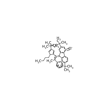 CCCCC1C=C(C(C)(C)C)C=[C]1/[Zr+2](=[C](\C)c1ccccc1)[CH]1c2cc(C(C)(C)C)ccc2-c2ccc(C(C)(C)C)cc21.[Cl-].[Cl-]